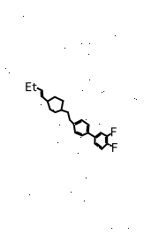 CCC=CC1CCC(CCc2ccc(-c3ccc(F)c(F)c3)cc2)CC1